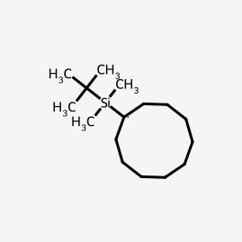 CC(C)(C)[Si](C)(C)[C]1CCCCCCCCC1